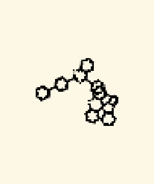 c1ccc(-c2ccc(-c3nc(-c4ccc(-c5cccc6c5C5(c7ccccc7Oc7ccccc75)c5ccccc5-6)cc4)c4ccccc4n3)cc2)cc1